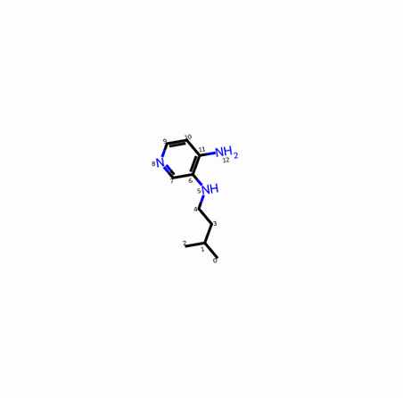 CC(C)CCNc1cnccc1N